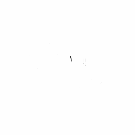 S=C1N[C@H](Cc2ccccc2)CS1